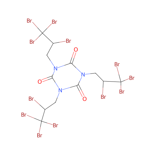 O=c1n(CC(Br)C(Br)(Br)Br)c(=O)n(CC(Br)C(Br)(Br)Br)c(=O)n1CC(Br)C(Br)(Br)Br